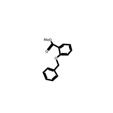 COC(=O)c1c[c]ccc1OCc1ccccc1